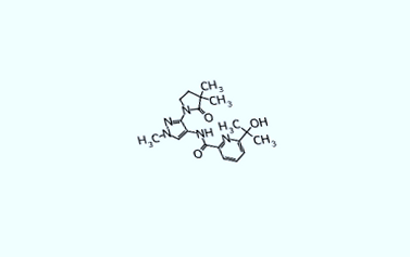 Cn1cc(NC(=O)c2cccc(C(C)(C)O)n2)c(N2CCC(C)(C)C2=O)n1